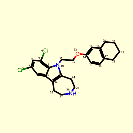 Clc1cc(Cl)c2c(c1)c1c(n2CCOc2ccc3c(c2)CCCC3)CCNCC1